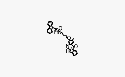 Cc1cc2c(cc1OCCCCNC(=O)OCC1c3ccccc3-c3ccccc31)N=C[C@@H]1Cc3ccccc3N1C2=O